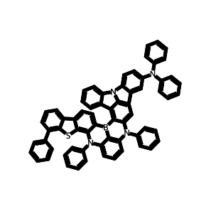 c1ccc(-c2cccc3c2sc2c4c(ccc23)B2c3c(cccc3N4c3ccccc3)N(c3ccccc3)c3cc4c5cc(N(c6ccccc6)c6ccccc6)ccc5n5c6ccccc6c(c32)c45)cc1